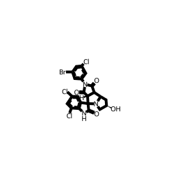 O=C1C2C3C[C@H](O)CN3C3(C(=O)Nc4c(Cl)cc(Cl)cc43)[C@@H]2C(=O)N1c1cc(Cl)cc(Br)c1